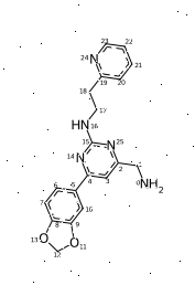 NCc1cc(-c2ccc3c(c2)OCO3)nc(NCCc2ccccn2)n1